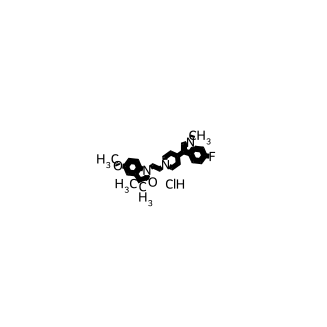 COc1ccc2c(c1)C(C)(C)C(=O)N2CCN1CCC(c2cn(C)c3cc(F)ccc23)CC1.Cl